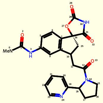 CNC(=O)Nc1ccc2c(c1)C(CC(=O)N1CCCC1c1ccccn1)C[C@@]21OC(=O)NC1=O